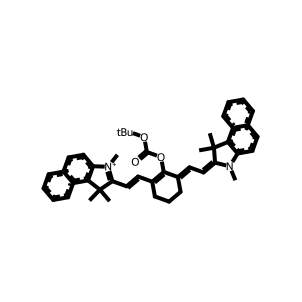 CN1/C(=C/C=C2\CCCC(/C=C/C3=[N+](C)c4ccc5ccccc5c4C3(C)C)=C2OC(=O)OC(C)(C)C)C(C)(C)c2c1ccc1ccccc21